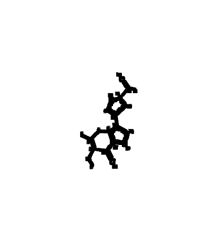 CCC1=C(C)Cc2c(-c3cnn(C(C)=O)c3)cnn2C1=O